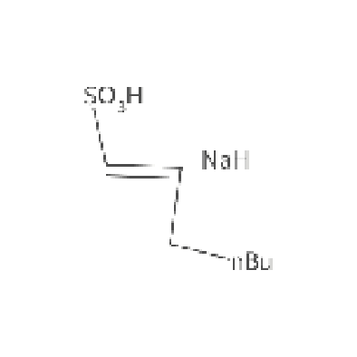 CCCCCC=CS(=O)(=O)O.[NaH]